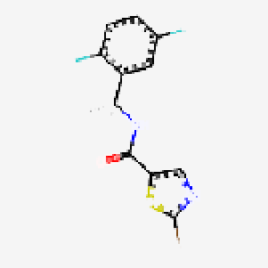 C[C@@H](NC(=O)c1cnc(Br)s1)c1cc(F)ccc1F